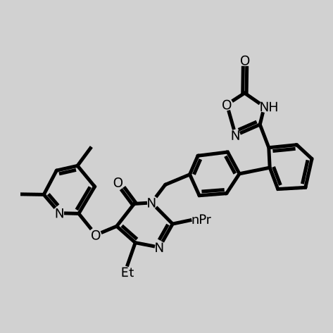 CCCc1nc(CC)c(Oc2cc(C)cc(C)n2)c(=O)n1Cc1ccc(-c2ccccc2-c2noc(=O)[nH]2)cc1